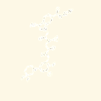 CC(=O)c1cn(CC(=O)N(CC(=O)NCc2cc(N3CCCC(F)(F)C3)cc(Cl)c2F)C2CC2)c2cc(C(=O)N=[N+]=[N-])ccc12